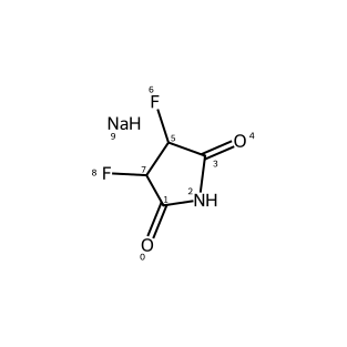 O=C1NC(=O)C(F)C1F.[NaH]